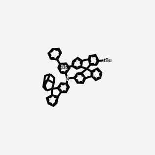 CC(C)(C)c1ccc2c(c1)C1(c3ccccc3-c3ccc(N(c4ccc(-c5ccccc5)cc4)c4ccc5c(c4)C4(c6ccccc6-5)C5CC6CC(C5)CC4C6)cc31)c1cc(C(C)(C)C)ccc1-2